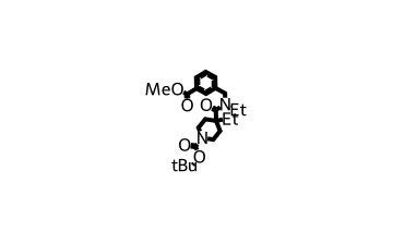 CCN(Cc1cccc(C(=O)OC)c1)C(=O)C1(CC)CCN(C(=O)OC(C)(C)C)CC1